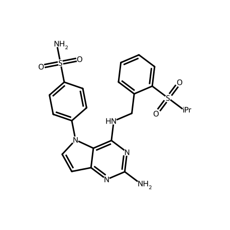 CC(C)S(=O)(=O)c1ccccc1CNc1nc(N)nc2ccn(-c3ccc(S(N)(=O)=O)cc3)c12